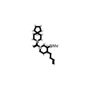 C=CCCC1CCN(C(=C)N2CCC3(CCCC3)CC2)CC1NC